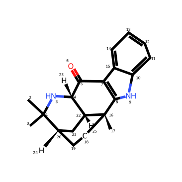 CC1(C)N[C@@H]2C(=O)c3c([nH]c4ccccc34)[C@]3(C)CC[C@H]1C[C@H]23